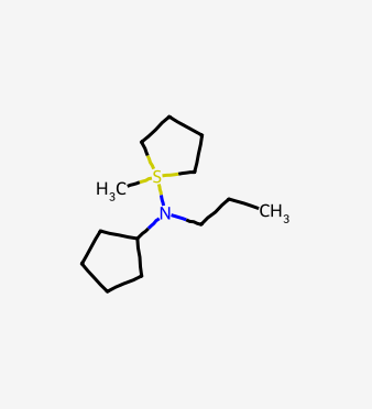 CCCN(C1CCCC1)S1(C)CCCC1